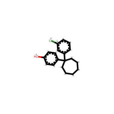 Oc1ccc(C2(c3cccc(Cl)c3)CCCCCC2)cc1